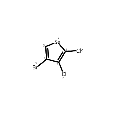 Clc1[se]cc(Br)c1Cl